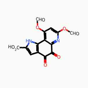 O=COc1cc(OC=O)c2c(n1)C(=O)C(=O)c1cc(C(=O)O)[nH]c1-2